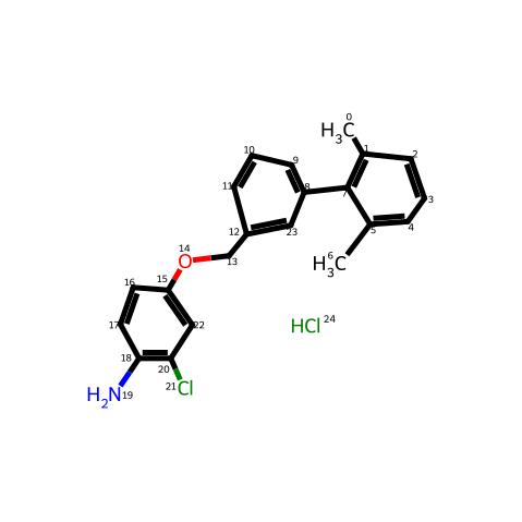 Cc1cccc(C)c1-c1cccc(COc2ccc(N)c(Cl)c2)c1.Cl